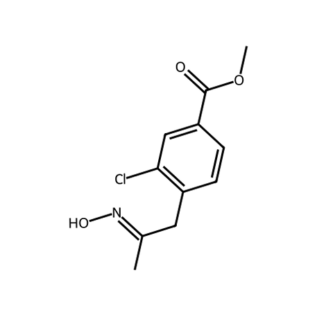 COC(=O)c1ccc(CC(C)=NO)c(Cl)c1